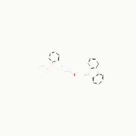 C[C@H](CNC(=O)OCC1c2ccccc2-c2ccccc21)Cc1ccccc1O[C@H](C)CN=O